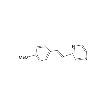 COc1ccc(/C=C/c2cnccn2)cc1